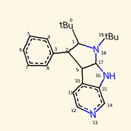 CC(C)(C)C1C(c2ccccc2)C2c3ccncc3NC2N1C(C)(C)C